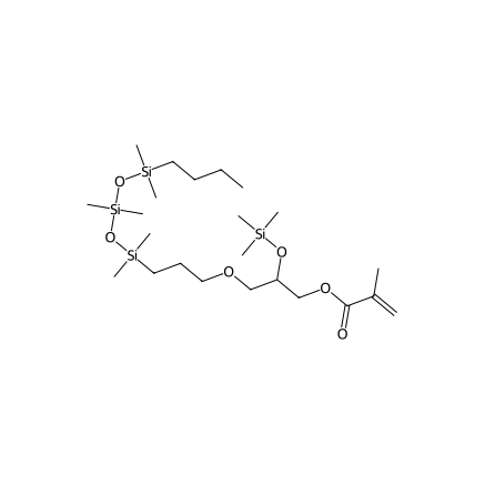 C=C(C)C(=O)OCC(COCCC[Si](C)(C)O[Si](C)(C)O[Si](C)(C)CCCC)O[Si](C)(C)C